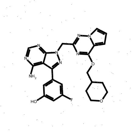 Nc1ncnc2c1c(-c1cc(O)cc(F)c1)nn2Cc1nc(OCC2CCOCC2)c2cccn2n1